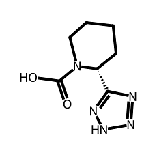 O=C(O)N1CCCC[C@@H]1c1nn[nH]n1